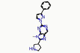 Cn1c(C2CCNC2)nc2cnc(-n3ccc(-c4ccccc4)n3)nc21